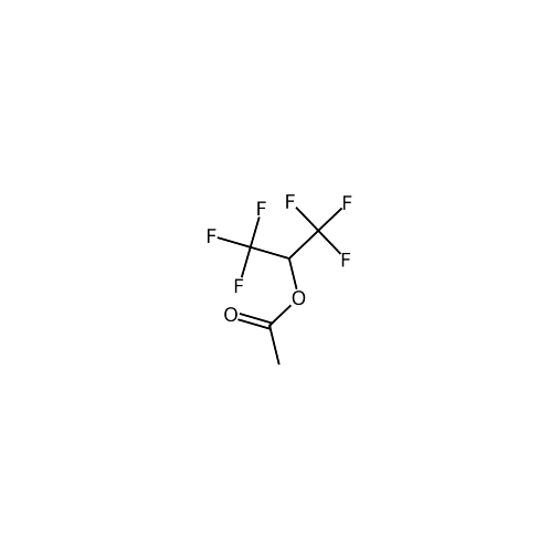 CC(=O)OC(C(F)(F)F)C(F)(F)F